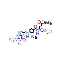 COC(=O)CC[C@H](NC(=O)c1ccc(NCc2cnc3nc(N)[nH]c(=O)c3n2)cc1)C(=O)O.[Na]